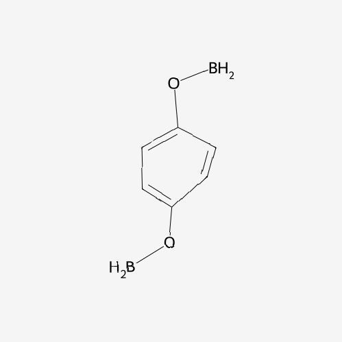 BOc1ccc(OB)cc1